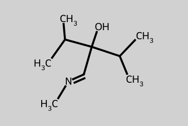 CN=CC(O)(C(C)C)C(C)C